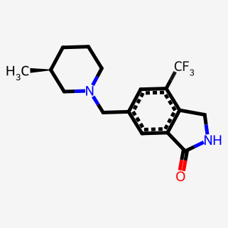 C[C@H]1CCCN(Cc2cc3c(c(C(F)(F)F)c2)CNC3=O)C1